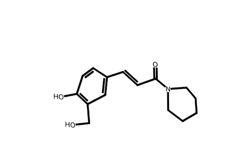 O=C(/C=C/c1ccc(O)c(CO)c1)N1CCCCC1